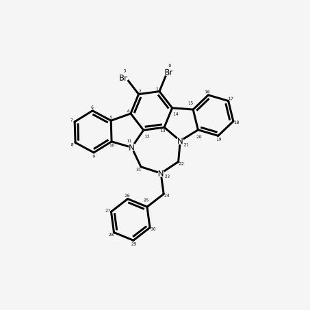 Brc1c(Br)c2c3ccccc3n3c2c2c1c1ccccc1n2CN(Cc1ccccc1)C3